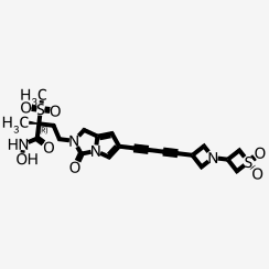 C[C@@](CCN1Cc2cc(C#CC#CC3CN(C4CS(=O)(=O)C4)C3)cn2C1=O)(C(=O)NO)S(C)(=O)=O